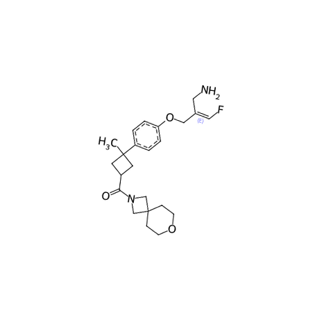 CC1(c2ccc(OC/C(=C/F)CN)cc2)CC(C(=O)N2CC3(CCOCC3)C2)C1